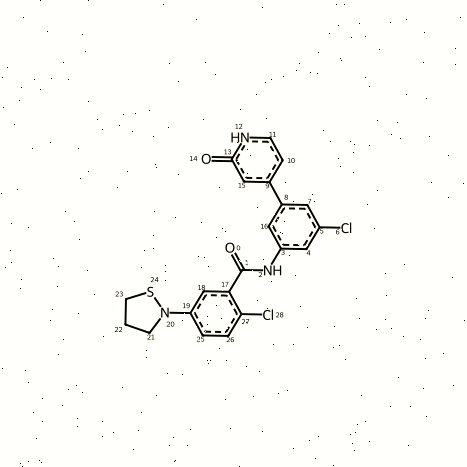 O=C(Nc1cc(Cl)cc(-c2cc[nH]c(=O)c2)c1)c1cc(N2CCCS2)ccc1Cl